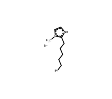 CC(C)CCCCCc1[nH]cc[n+]1C.[Br-]